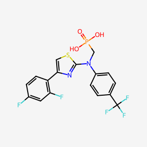 O=P(O)(O)CN(c1ccc(C(F)(F)F)cc1)c1nc(-c2ccc(F)cc2F)cs1